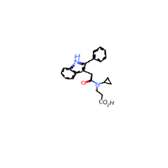 O=C(O)CCN(C(=O)Cc1c(-c2ccccc2)[nH]c2ccccc12)C1CC1